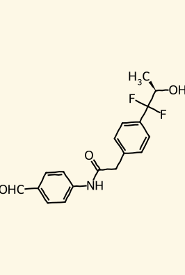 C[C@@H](O)C(F)(F)c1ccc(CC(=O)Nc2ccc(C=O)cc2)cc1